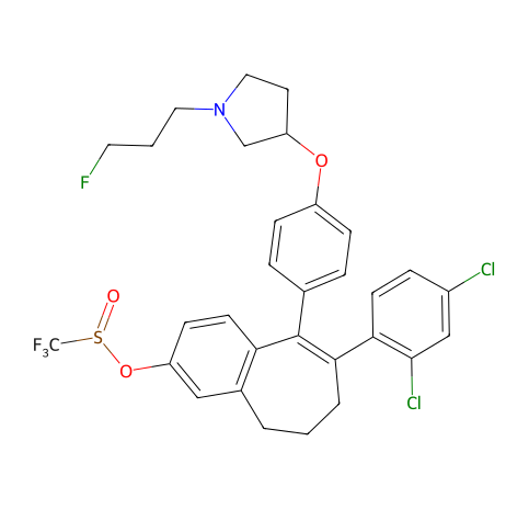 O=S(Oc1ccc2c(c1)CCCC(c1ccc(Cl)cc1Cl)=C2c1ccc(OC2CCN(CCCF)C2)cc1)C(F)(F)F